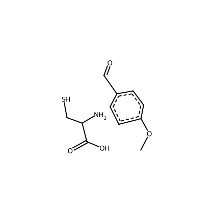 COc1ccc(C=O)cc1.NC(CS)C(=O)O